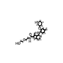 Cc1c(C(=O)NCCOCCO)sc2ncnc(Nc3ccc(F)cc3OC3CCCNC3)c12